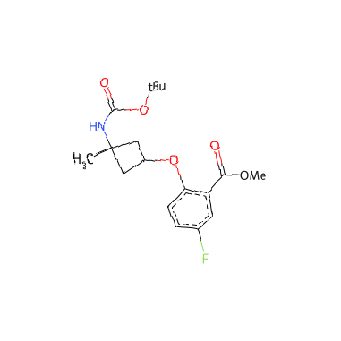 COC(=O)c1cc(F)ccc1OC1CC(C)(NC(=O)OC(C)(C)C)C1